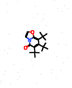 CC(C)(C)c1c(C(C)(C)C)c(=O)n2ccoc2c1C(C)(C)C